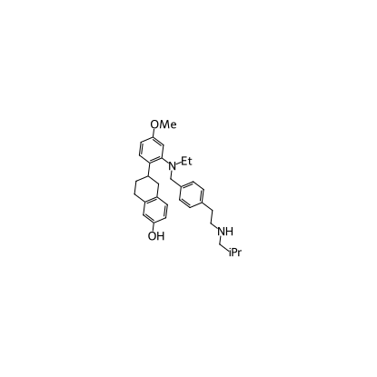 CCN(Cc1ccc(CCNCC(C)C)cc1)c1cc(OC)ccc1C1CCc2cc(O)ccc2C1